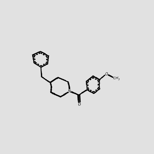 COc1ccc(C(=O)N2CCC(Cc3ccccc3)CC2)cc1